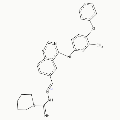 Cc1cc(Nc2ncnc3ccc(/C=N/NC(=N)N4CCCCC4)cc23)ccc1Oc1ccccc1